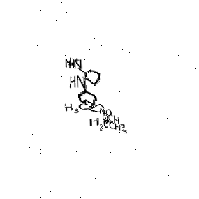 CC(C)(C)OC(=O)N1CCC(C)(N2CCC(N[C@H]3CCCC[C@@H]3CN=[N+]=[N-])CC2)CC1